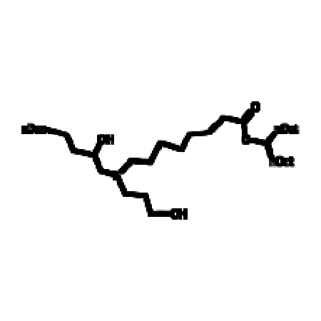 CCCCCCCCCCCCC(O)CN(CCCO)CCCCCCCC(=O)OC(CCCCCCCC)CCCCCCCC